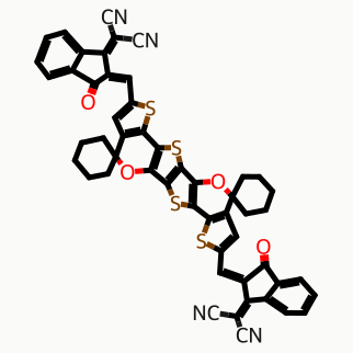 N#CC(C#N)=C1/C(=C/c2cc3c(s2)-c2sc4c5c(sc4c2OC32CCCCC2)-c2sc(/C=C3\C(=O)c4ccccc4C3=C(C#N)C#N)cc2C2(CCCCC2)O5)C(=O)c2ccccc21